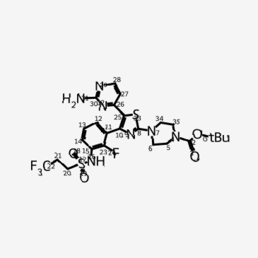 CC(C)(C)OC(=O)N1CCN(c2nc(-c3cccc(NS(=O)(=O)CCC(F)(F)F)c3F)c(-c3ccnc(N)n3)s2)CC1